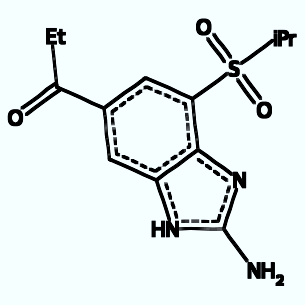 CCC(=O)c1cc(S(=O)(=O)C(C)C)c2nc(N)[nH]c2c1